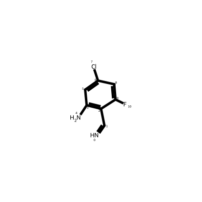 N=Cc1c(N)cc(Cl)cc1F